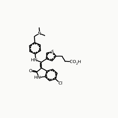 CN(C)Cc1ccc(N/C(=C2\C(=O)Nc3cc(Cl)ccc32)c2csc(CCC(=O)O)c2)cc1